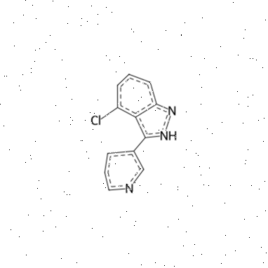 Clc1cccc2n[nH]c(-c3cccnc3)c12